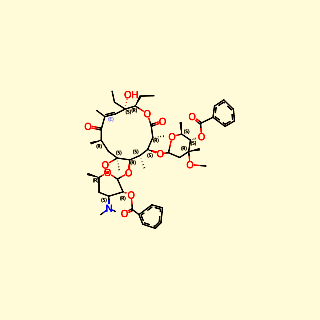 CC[C@H]1OC(=O)[C@H](C)[C@@H](OC2C[C@@](C)(OC)[C@@H](OC(=O)c3ccccc3)[C@H](C)O2)[C@H](C)[C@@H](OC2O[C@H](C)C[C@H](N(C)C)[C@H]2OC(=O)c2ccccc2)[C@@](C)(OC)C[C@@H](C)C(=O)/C(C)=C/[C@@]1(O)CC